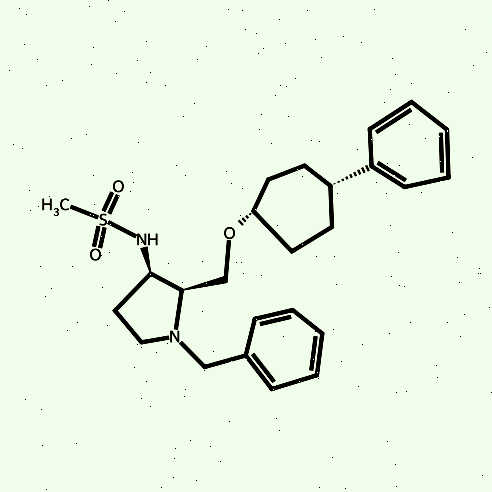 CS(=O)(=O)N[C@@H]1CCN(Cc2ccccc2)[C@@H]1CO[C@H]1CC[C@@H](c2ccccc2)CC1